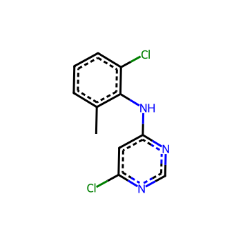 Cc1cccc(Cl)c1Nc1cc(Cl)ncn1